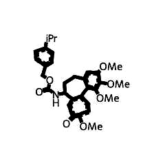 COc1cc2c(c(OC)c1OC)-c1ccc(OC)c(=O)cc1C(NC(=O)OCc1ccc(C(C)C)cc1)CC2